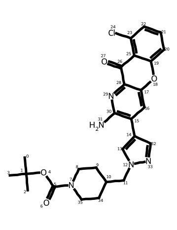 CC(C)(C)OC(=O)N1CCC(Cn2cc(-c3cc4oc5cccc(Cl)c5c(=O)c4nc3N)cn2)CC1